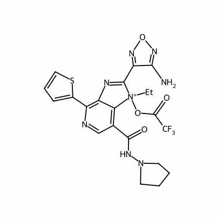 CC[N+]1(OC(=O)C(F)(F)F)C(c2nonc2N)=Nc2c(-c3cccs3)ncc(C(=O)NN3CCCC3)c21